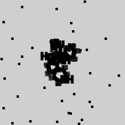 CC(C)(C)COC(C)(Nc1c(Cl)ccc2c1CCNCC2)c1cccnc1